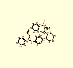 C=CCN(Cc1ccc([C@H]2CCCC[C@@H]2C(=O)N[C@@H](C)c2ccccc2)cc1)c1ccccc1